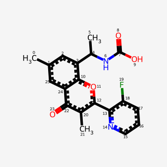 Cc1cc(C(C)NC(=O)O)c2oc(-c3ncccc3F)c(C)c(=O)c2c1